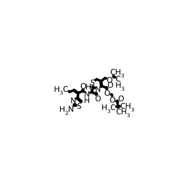 CCC=C(C(=O)N[C@@H]1C(=O)N2C(C(=O)OCOC(=O)C(C)(C)C)=C(COC(C)C)CS[C@@H]12)c1csc(N)n1